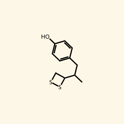 CC(Cc1ccc(O)cc1)C1CSS1